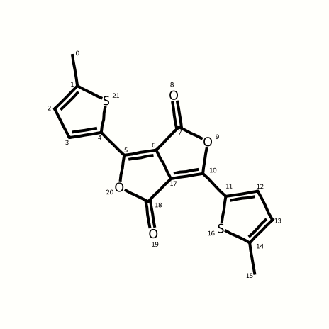 Cc1ccc(C2=C3C(=O)OC(c4ccc(C)s4)=C3C(=O)O2)s1